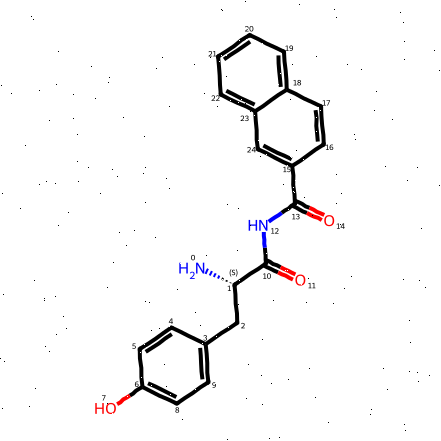 N[C@@H](Cc1ccc(O)cc1)C(=O)NC(=O)c1ccc2ccccc2c1